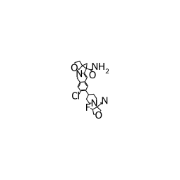 N#CC1(N2CCC(c3cc4cc(C5(C(N)=O)CC56CCOC6)ncc4cc3Cl)CC2)COCC1F